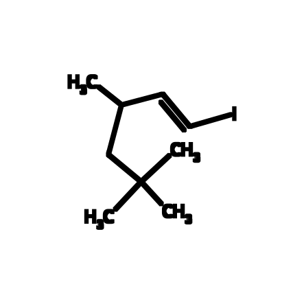 CC(C=CI)CC(C)(C)C